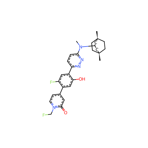 CN(c1ccc(-c2cc(F)c(-c3ccn(CF)c(=O)c3)cc2O)nn1)C1C[C@]2(C)CC[C@@](C)(CC2)C1